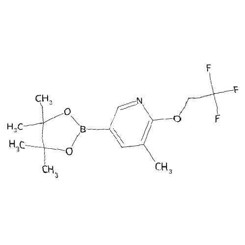 Cc1cc(B2OC(C)(C)C(C)(C)O2)cnc1OCC(F)(F)F